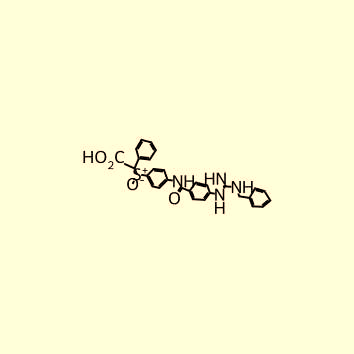 N=C(NCc1ccccc1)Nc1ccc(C(=O)Nc2ccc([S+]([O-])C(CC(=O)O)c3ccccc3)cc2)cc1